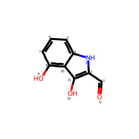 O=[C]c1[nH]c2cccc(O)c2c1O